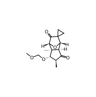 COCO[C@H]1[C@H](C)C(=O)[C@@H]2[C@@H]3O[C@@H](C(=O)C34CC4)[C@@]21C